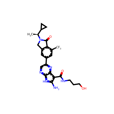 C[C@@H](C1CC1)N1Cc2cc(-c3cnc4[nH]c(N)c(C(=O)NCCCO)c4n3)cc(C(F)(F)F)c2C1=O